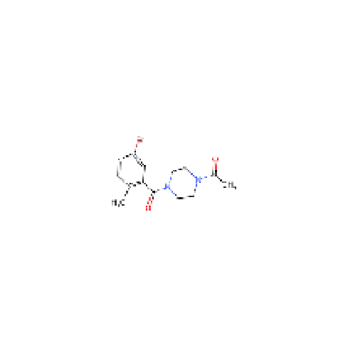 CC(=O)N1CCN(C(=O)c2cc(Br)ccc2C)CC1